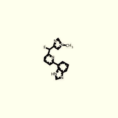 Cn1cnc(C(F)c2cccc(-c3cccc4nc[nH]c34)n2)c1